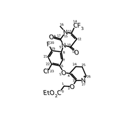 CCOC(=O)COC1=C(Oc2cc(-n3c(=O)cc(C(F)(F)F)n(C)c3=O)c(F)cc2Cl)CCC=N1